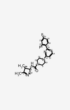 CC1=NOC(NC(=O)N2CCN(c3ccnc(-c4ccc(F)cc4F)n3)CC2)C1C